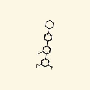 Fc1cc(F)cc(-c2ccc(-c3ccc(C4CCCCC4)cc3)cc2F)c1